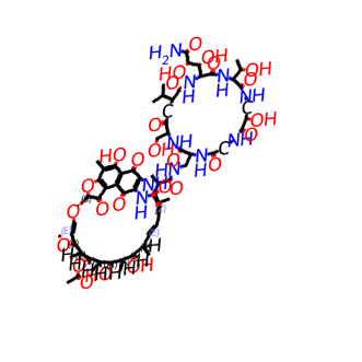 CO[C@H]1/C=C/O[C@@]2(C)Oc3c(C)c(O)c4c(c3C2=O)C(=O)C(NC(C)C(C)C(=O)NCC2NC(=O)CNC(=O)C(O)CNC(=O)C(C(C)O)NC(=O)C(C(O)C(O)C(N)=O)NC(=O)C(C(C)C)CC(=O)C(CO)NC2=O)=C(NC(=O)/C(C)=C\C=C\[C@H](C)[C@H](O)[C@@H](C)[C@@H](O)[C@@H](C)[C@H](OC(C)=O)[C@@H]1C)C4=O